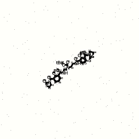 CCCCOc1c(C(=O)NCCN(CCNC(=O)c2cccc(C(=O)N3CCSC3=S)c2OCCCC)C(=O)OC(C)(C)C)cccc1C(=O)N1CCSC1=O